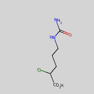 NC(=O)NCCCC(Cl)C(=O)O